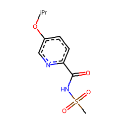 CC(C)Oc1ccc(C(=O)NS(C)(=O)=O)nc1